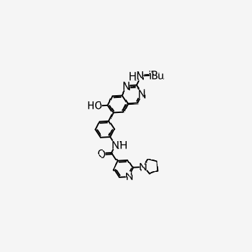 CCC(C)Nc1ncc2cc(-c3cccc(NC(=O)c4ccnc(N5CCCC5)c4)c3)c(O)cc2n1